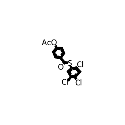 CC(=O)Oc1ccc(C(=O)Sc2cc(Cl)c(Cl)cc2Cl)cc1